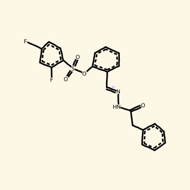 O=C(Cc1ccccc1)N/N=C/c1ccccc1OS(=O)(=O)c1ccc(F)cc1F